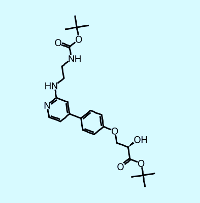 CC(C)(C)OC(=O)NCCNc1cc(-c2ccc(OC[C@@H](O)C(=O)OC(C)(C)C)cc2)ccn1